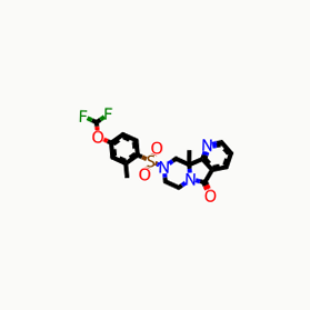 Cc1cc(OC(F)F)ccc1S(=O)(=O)N1CCN2C(=O)c3cccnc3C2(C)C1